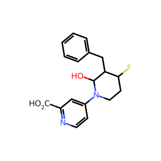 O=C(O)c1cc(N2CCC(F)C(Cc3ccccc3)C2O)ccn1